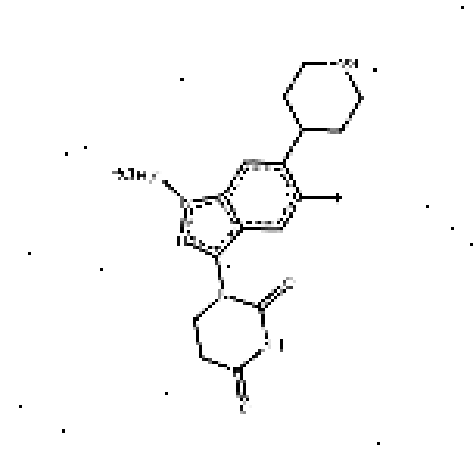 Cl.Cn1nc(N2CCC(=O)NC2=O)c2cc(F)c(C3CCNCC3)cc21